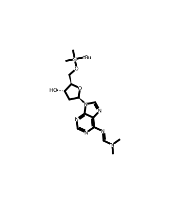 CN(C)C=Nc1ncnc2c1ncn2[C@H]1C[C@H](O)[C@@H](CO[Si](C)(C)C(C)(C)C)O1